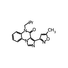 Cc1cc(-c2ncn3c2c(=O)n(CC(C)C)c2ccccc23)no1